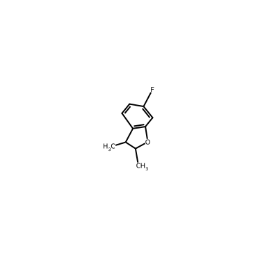 CC1Oc2cc(F)ccc2C1C